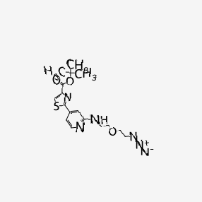 CC(C)(C)OC(=O)c1csc(-c2ccnc(NCCOCCN=[N+]=[N-])c2)n1